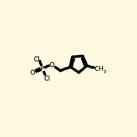 CC1=CC=C(COP(=O)(Cl)Cl)C1